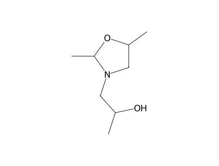 CC(O)CN1CC(C)OC1C